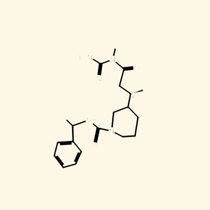 CC(NC(=O)N1CCCC([C@H](C)CC(=O)N(C)C(=N)N)C1)c1ccccc1